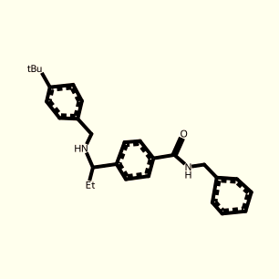 CCC(NCc1ccc(C(C)(C)C)cc1)c1ccc(C(=O)NCc2ccccc2)cc1